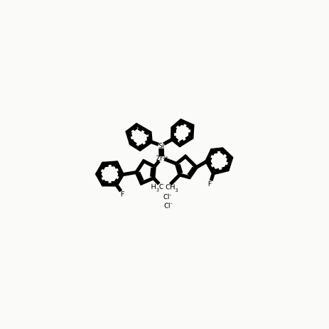 CC1=[C]([Zr+2]([C]2=C(C)C=C(c3ccccc3F)C2)=[Si](c2ccccc2)c2ccccc2)CC(c2ccccc2F)=C1.[Cl-].[Cl-]